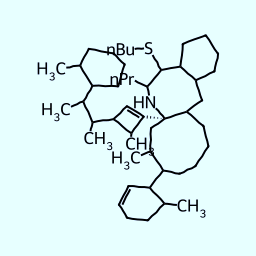 CCCCSC1C(CCC)N[C@]2(C3=CC(C(C)C(C)C4CCCCC4C)C3C)CC(C)C(C3C=CCCC3C)CCCCC2CC2CCCCC21